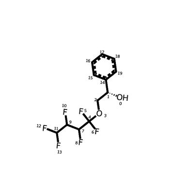 O[C@H](COC(F)(F)C(F)C(F)C(F)F)c1ccccc1